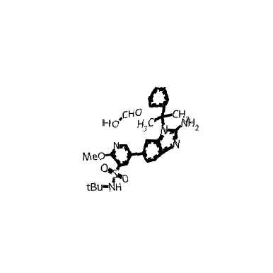 COc1ncc(-c2ccc3nc(N)n(C(C)(C)c4ccccc4)c3c2)cc1S(=O)(=O)NC(C)(C)C.O=CO